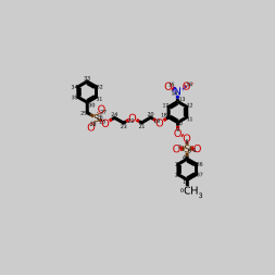 Cc1ccc(S(=O)(=O)OOc2ccc([N+](=O)[O-])cc2OCCOCCOS(=O)(=O)Cc2ccccc2)cc1